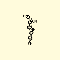 N#Cc1cc(-c2ccnc(Nc3ccc(N4CCN(C5COC5)CC4)cc3)n2)ccc1OC1CCNCC1